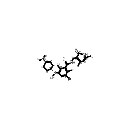 CCN(c1cc(Br)c(C)c(C(=O)NCc2c(C)cc(C)[nH]c2=O)c1C)[C@H]1CC[C@H](N(C)C)CC1